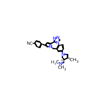 C[C@H]1CN(c2ccc3c(c2)Cn2cc(-c4ccc(C#N)cc4)cc2-c2nncn2-3)C[C@@H]1CN(C)C